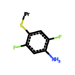 CC(C)Sc1cc(F)c(N)cc1F